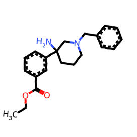 CCOC(=O)c1cccc(C2(N)CCCN(Cc3ccccc3)C2)c1